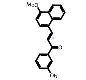 COc1ccc(/C=C/C(=O)c2cccc(O)c2)c2ccccc12